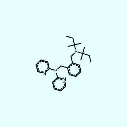 CCC(C)(C)P(Cc1ccccc1CP(c1ccccn1)c1ccccn1)C(C)(C)CC